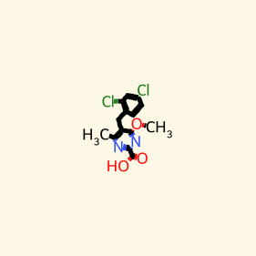 COc1nc(C(=O)O)nc(C)c1Cc1ccc(Cl)cc1Cl